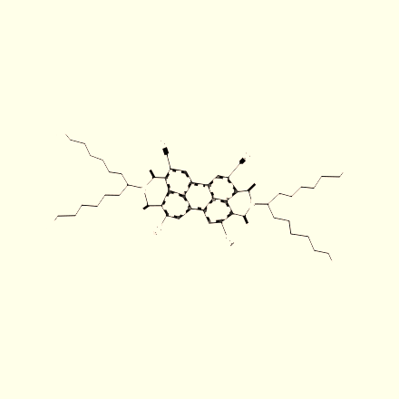 [C-]#[N+]c1cc2c3cc([N+]#[C-])c4c5c(c(C#N)cc(c6cc(C#N)c7c(c1C(=O)N(C(CCCCCCC)CCCCCCC)C7=O)c62)c53)C(=O)N(C(CCCCCCC)CCCCCCC)C4=O